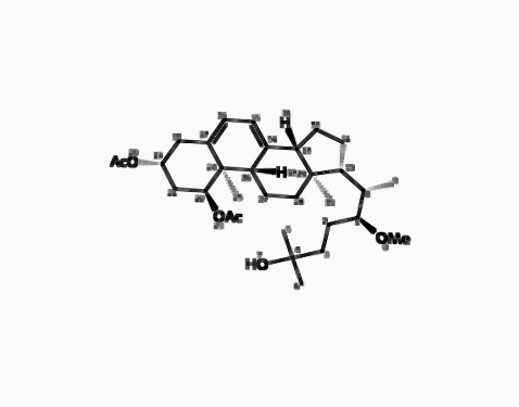 CO[C@@H](CCC(C)(C)O)[C@@H](C)[C@H]1CC[C@H]2C3=CC=C4C[C@@H](OC(C)=O)C[C@H](OC(C)=O)[C@]4(C)[C@H]3CC[C@]12C